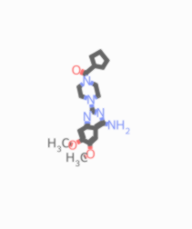 COc1cc2nc(N3CCN(C(=O)C4CCCC4)CC3)nc(N)c2cc1OC